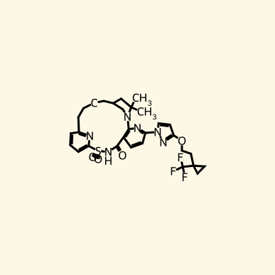 CC1(C)CC2CCCCc3cccc(n3)S(=O)(=O)NC(=O)c3ccc(-n4ccc(OCCC5(C(F)(F)F)CC5)n4)nc3N1C2